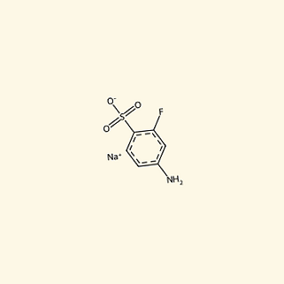 Nc1ccc(S(=O)(=O)[O-])c(F)c1.[Na+]